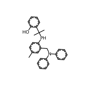 Cc1ccc(PC(C)(C)c2ccccc2O)c(CN(c2ccccc2)c2ccccc2)c1